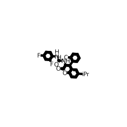 Cc1ccccc1-c1c(NC(=O)Nc2ccc(F)cc2F)c(=O)oc2ccc(C(C)C)cc12